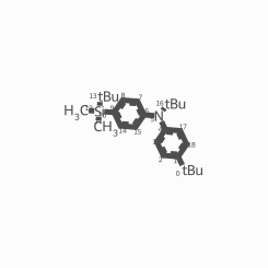 CC(C)(C)c1ccc(N(c2ccc([Si](C)(C)C(C)(C)C)cc2)C(C)(C)C)cc1